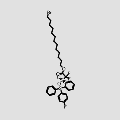 O=C(OCCCCCCCCCCCCCBr)C(F)(F)S(=O)(=O)OS(c1ccccc1)(c1ccccc1)c1ccc(F)cc1